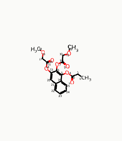 CCC(=O)Oc1c(OC(=O)COC)c(OC(=O)COC)cc2ccccc12